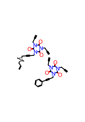 C#CCn1c(=O)n(CC#C)c(=O)n(CC#CC[Si](C)(C)CC=C)c1=O.C#CCn1c(=O)n(CC#C)c(=O)n(CC#Cc2ccccc2)c1=O